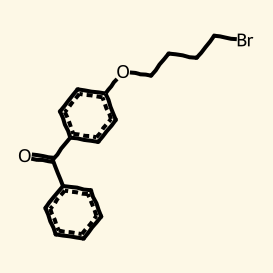 O=C(c1ccccc1)c1ccc(OCCCCBr)cc1